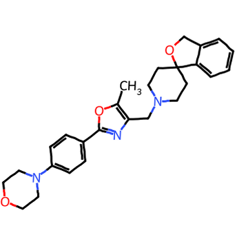 Cc1oc(-c2ccc(N3CCOCC3)cc2)nc1CN1CCC2(CC1)OCc1ccccc12